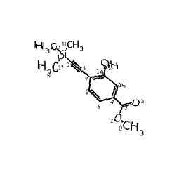 COC(=O)c1ccc(C#C[Si](C)(C)C)c(O)c1